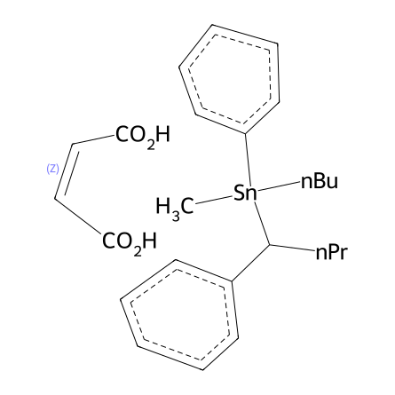 CCC[CH2][Sn]([CH3])([c]1ccccc1)[CH](CCC)c1ccccc1.O=C(O)/C=C\C(=O)O